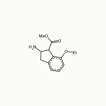 CCOc1cccc2c1C(C(=O)OC)C(N)C2